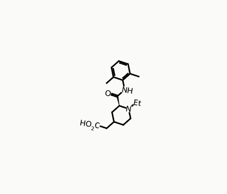 CCN1CCC(CC(=O)O)C[C@H]1C(=O)Nc1c(C)cccc1C